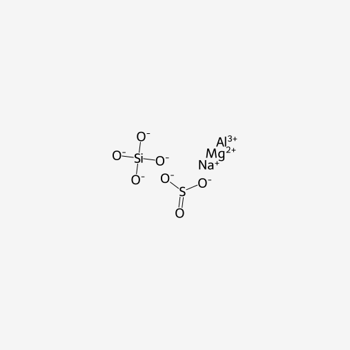 O=S([O-])[O-].[Al+3].[Mg+2].[Na+].[O-][Si]([O-])([O-])[O-]